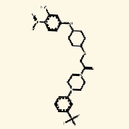 Cc1cc(NC2CCC(OCC(=S)N3CCN(c4cccc(C(F)(F)F)c4)CC3)CC2)ccc1[N+](=O)[O-]